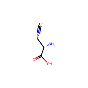 [C-]#[N+]C[C@H](N)C(=O)O